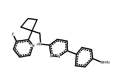 CC(=O)Nc1ccc(-c2ccc(NCC3(c4ncccc4F)CCC3)nn2)cc1